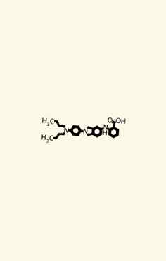 CCCCN(CCCC)c1ccc(N2Cc3ccc(Nc4ccccc4C(=O)O)cc3C2)cc1